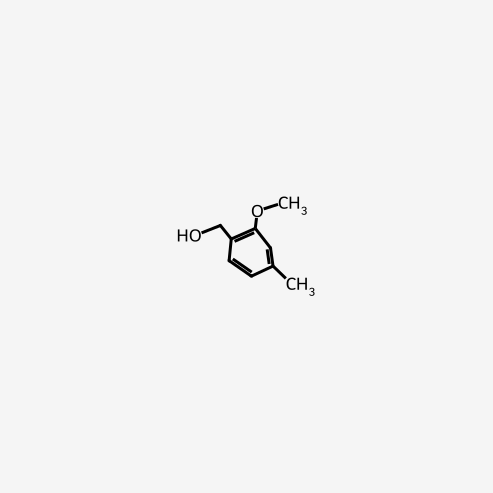 COc1cc(C)ccc1CO